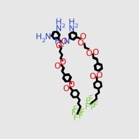 Nc1cc(N)cc(C(=O)OCCCCOC(=O)C=Cc2ccc(OC(=O)C3CCC(CCCC(F)(F)C(F)(F)F)CC3)cc2)c1.Nc1cc(N)cc(C(=O)OCCCOC(=O)C=Cc2ccc(OC(=O)C3CCC(CCCC(F)(F)C(F)(F)F)CC3)cc2)c1